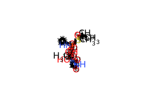 CCC(C)(C)C(=O)SCCOP(=O)(NCc1ccccc1)OC[C@H]1O[C@H](n2ccc(=O)[nH]c2=O)[C@@H](O)C1(C)O